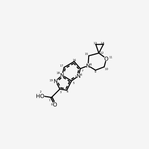 O=C(O)c1cc2nc(N3CCOC4(CC4)C3)ccn2n1